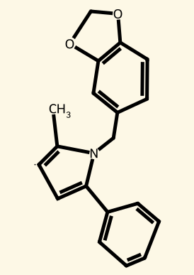 Cc1[c]cc(-c2ccccc2)n1Cc1ccc2c(c1)OCO2